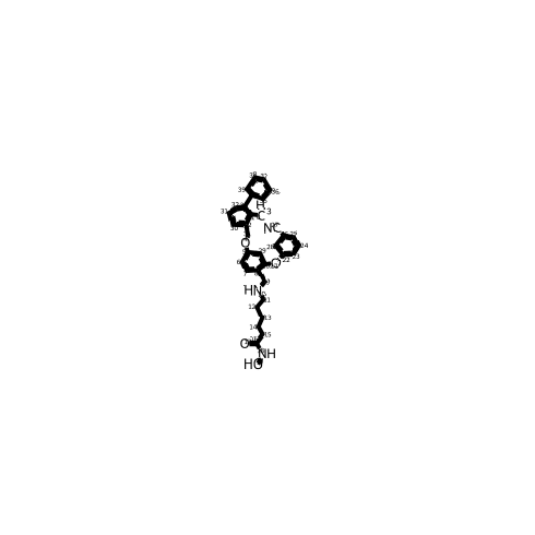 Cc1c(COc2ccc(CNCCCCCC(=O)NO)c(Oc3cccc(C#N)c3)c2)cccc1-c1ccccc1